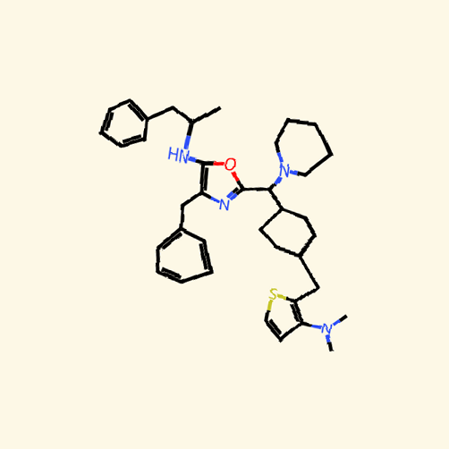 CC(Cc1ccccc1)Nc1oc(C(C2CCC(Cc3sccc3N(C)C)CC2)N2CCCCC2)nc1Cc1ccccc1